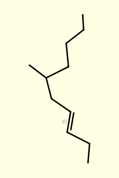 CC/C=C/CC(C)CCCC